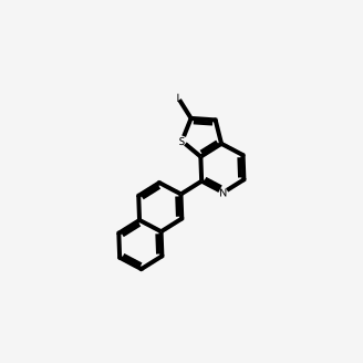 Ic1cc2ccnc(-c3ccc4ccccc4c3)c2s1